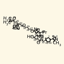 Cc1ncsc1-c1ccc(CNC(=O)[C@@H]2C[C@@H](O)CN2C(=O)C(c2cc(OCCCCOCCN(CCC(=O)N(C)C)C(=O)OC(C)(C)C)no2)C(C)C)cc1